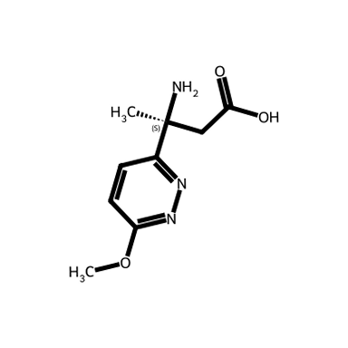 COc1ccc([C@@](C)(N)CC(=O)O)nn1